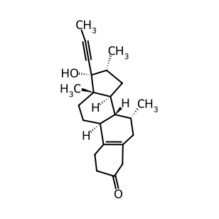 CC#C[C@@]1(O)[C@H](C)C[C@H]2[C@@H]3[C@H](C)CC4=C(CCC(=O)C4)[C@H]3CC[C@@]21C